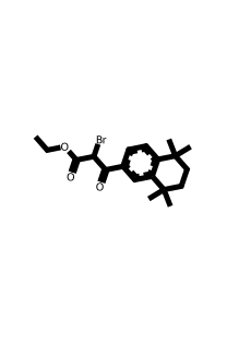 CCOC(=O)C(Br)C(=O)c1ccc2c(c1)C(C)(C)CCC2(C)C